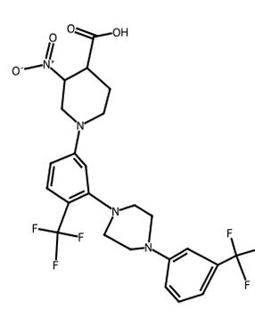 O=C(O)C1CCN(c2ccc(C(F)(F)F)c(N3CCN(c4cccc(C(F)(F)F)c4)CC3)c2)CC1[N+](=O)[O-]